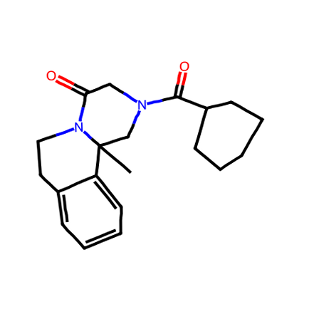 CC12CN(C(=O)C3CCCCC3)CC(=O)N1CCc1ccccc12